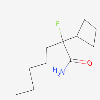 CCCCCC(F)(C(N)=O)C1CCC1